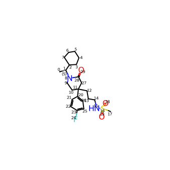 C[C@@H](C1CCCCC1)N1CCC(CCCNS(C)(=O)=O)(c2ccc(F)cc2)CC1=O